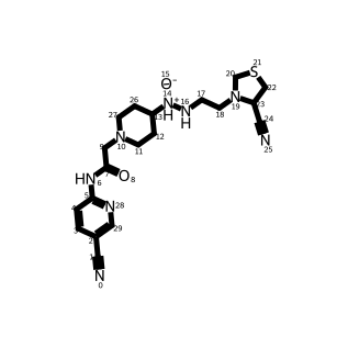 N#Cc1ccc(NC(=O)CN2CCC([NH+]([O-])NCCN3CSCC3C#N)CC2)nc1